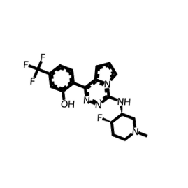 CN1CC[C@@H](F)[C@@H](Nc2nnc(-c3ccc(C(F)(F)F)cc3O)c3cccn23)C1